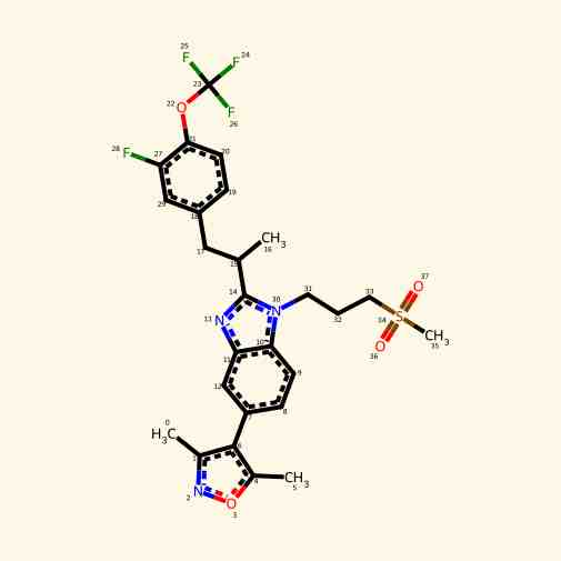 Cc1noc(C)c1-c1ccc2c(c1)nc(C(C)Cc1ccc(OC(F)(F)F)c(F)c1)n2CCCS(C)(=O)=O